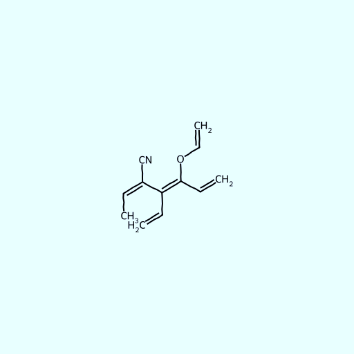 C=CO/C(C=C)=C(C=C)\C(C#N)=C/C